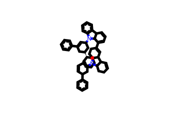 C1=CC2c3ccccc3N(C3C=C(c4ccccc4)CC([C@H]4C=CCCC4)C3)C2C(C2=CC3C4C=CCCC4N(C4CC=CC(c5ccccc5)C4)C3CC2)=C1